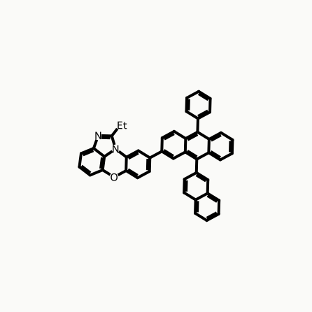 CCc1nc2cccc3c2n1-c1cc(-c2ccc4c(-c5ccccc5)c5ccccc5c(-c5ccc6ccccc6c5)c4c2)ccc1O3